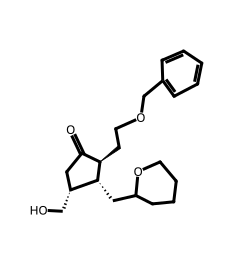 O=C1C[C@@H](CO)[C@@H](CC2CCCCO2)[C@@H]1CCOCc1ccccc1